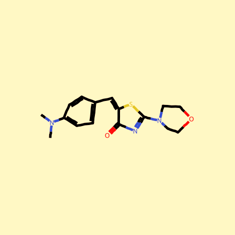 CN(C)c1ccc(/C=C2/SC(N3CCOCC3)=NC2=O)cc1